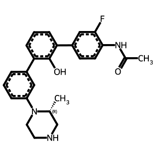 CC(=O)Nc1ccc(-c2cccc(-c3cccc(N4CCNC[C@H]4C)c3)c2O)cc1F